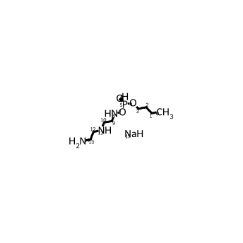 CCCCO[PH](=O)ONCCNCCN.[NaH]